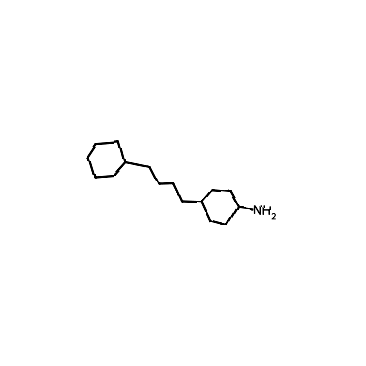 NC1CCC(CCCCC2CCCCC2)CC1